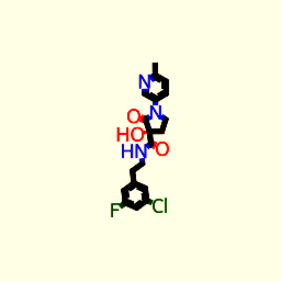 Cc1ccc(N2CC[C@](O)(C(=O)NCCc3cc(F)cc(Cl)c3)C2=O)cn1